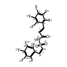 O=C(/C=C/c1c(F)c(F)c(F)c(F)c1F)NS(=O)(=O)/C=C\c1c(F)c(F)c(F)c(F)c1F